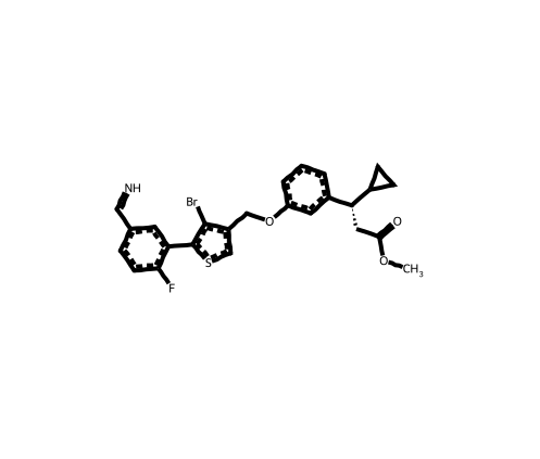 COC(=O)C[C@H](c1cccc(OCc2csc(-c3cc(C=N)ccc3F)c2Br)c1)C1CC1